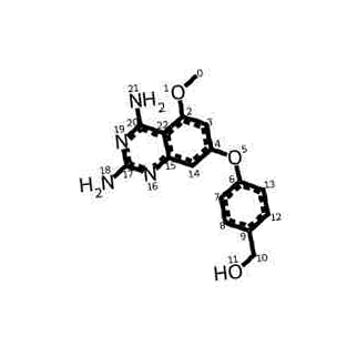 COc1cc(Oc2ccc(CO)cc2)cc2nc(N)nc(N)c12